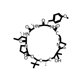 CC[C@H](C)[C@@H]1NC(=O)[C@H](C)NC(=O)[C@H](Cc2ccc(OC)cc2)NC(=O)CC[C@H]2CSC(=N2)C(C)(C)[C@@H](O)C[C@H](C)C[C@@H](C(C)(C)C)OC(=O)[C@@H]2CCCN2C1=O